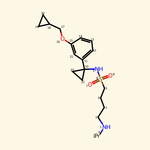 CC(C)NCCCCS(=O)(=O)NC1(c2cccc(OCC3CC3)c2)CC1